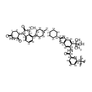 Cn1c(=O)n(C2CCC(=O)NC2=O)c2cccc(N3CCN(C[C@H]4CC[C@H](c5nc6cc(C(C)(C)O)c(NC(=O)c7cccc(C(F)(F)F)n7)cc6s5)CC4)CC3)c21